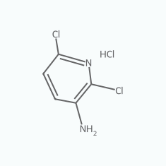 Cl.Nc1ccc(Cl)nc1Cl